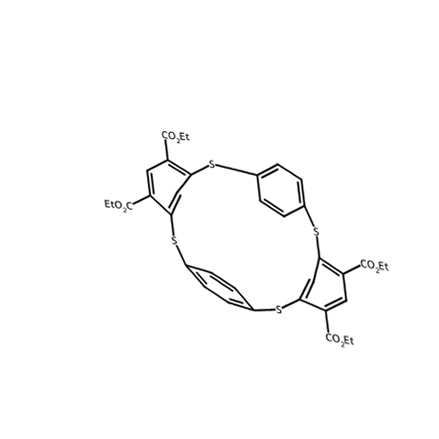 CCOC(=O)c1cc(C(=O)OCC)c2cc1sc1ccc(cc1)sc1cc(sc3ccc(cc3)s2)c(C(=O)OCC)cc1C(=O)OCC